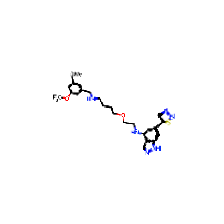 COc1cc(CNCCCCOCCNc2cc(-c3cnns3)cc3[nH]ncc23)cc(OC(F)(F)F)c1